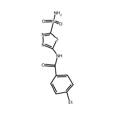 CCc1ccc(C(=O)Nc2nnc(S(N)(=O)=O)s2)cc1